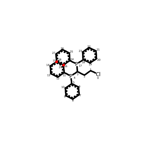 ClCCC(P(c1ccccc1)c1ccccc1)P(c1ccccc1)c1ccccc1